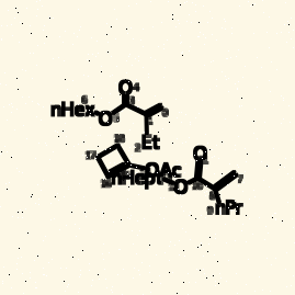 C=C(CC)C(=O)OCCCCCC.C=C(CCC)C(=O)OCCCCCCC.CC(=O)OC1=CCC1